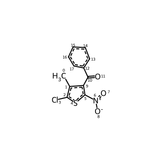 Cc1c(Cl)sc([N+](=O)[O-])c1C(=O)c1ccccc1